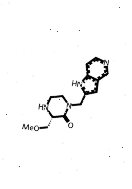 COC[C@@H]1NCCN(Cc2cc3cnccc3[nH]2)C1=O